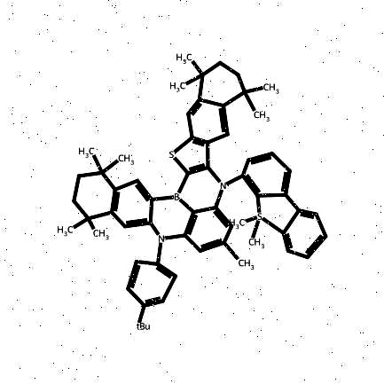 Cc1cc2c3c(c1)N(c1cccc4c1S(C)(C)c1ccccc1-4)c1c(sc4cc5c(cc14)C(C)(C)CCC5(C)C)B3c1cc3c(cc1N2c1ccc(C(C)(C)C)cc1)C(C)(C)CCC3(C)C